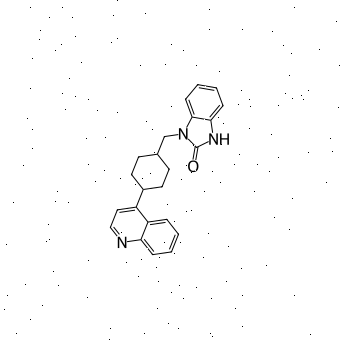 O=c1[nH]c2ccccc2n1CC1CCC(c2ccnc3ccccc23)CC1